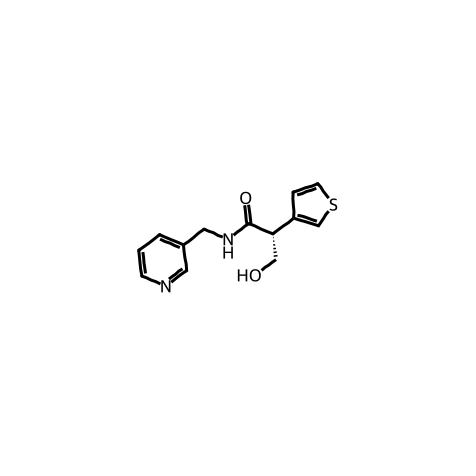 O=C(NCc1cccnc1)[C@@H](CO)c1ccsc1